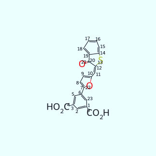 O=C(O)c1cc(C(=O)O)cc(-c2ccc(/C=C3/Sc4ccccc4C3=O)o2)c1